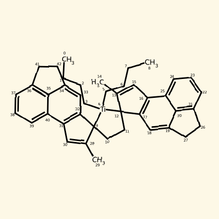 CCC[CH2][Ti]1([CH2]CCC)[C]2(CC[C]13C(C)=Cc1c3cc3c4c(cccc14)CC3)C(C)=Cc1c2cc2c3c(cccc13)CC2